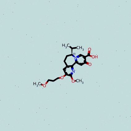 COCCCOc1cc2c(nc1OC)-c1cc(=O)c(C(=O)O)cn1[C@H](C(C)C)CC2